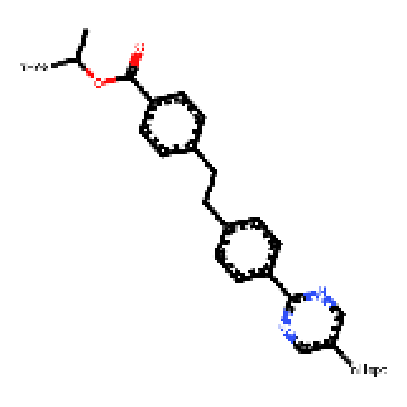 CCCCCCCc1cnc(-c2ccc(CCc3ccc(C(=O)OC(C)CCCCCC)cc3)cc2)nc1